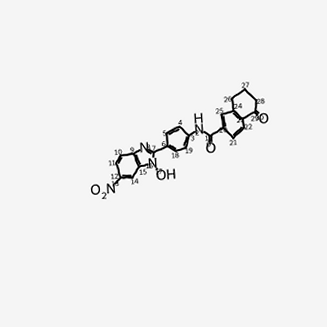 O=C(Nc1ccc(-c2nc3ccc([N+](=O)[O-])cc3n2O)cc1)c1ccc2c(c1)CCCC2=O